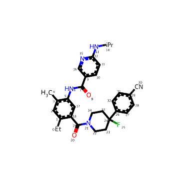 CCc1cc(C)c(NC(=O)c2ccc(NC(C)C)nc2)cc1C(=O)N1CCC(F)(c2ccc(C#N)cc2)CC1